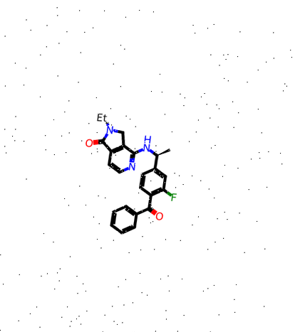 CCN1Cc2c(ccnc2N[C@@H](C)c2ccc(C(=O)c3ccccc3)c(F)c2)C1=O